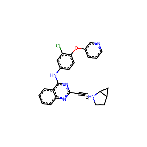 C#Cc1nc(Nc2ccc(Oc3cccnc3)c(Cl)c2)c2ccccc2n1.C1CC2CC2N1